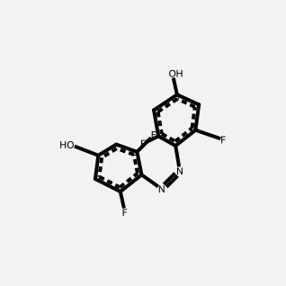 Oc1cc(F)c(/N=N\c2c(F)cc(O)cc2F)c(F)c1